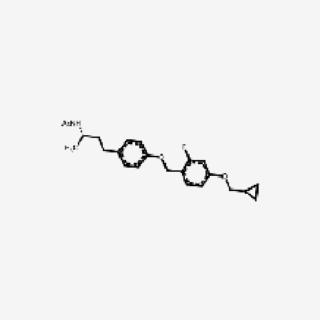 CC(=O)N[C@@H](C)CCc1ccc(OCc2ccc(OCC3CC3)cc2F)cc1